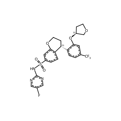 O=S(=O)(Nc1ncc(F)cn1)c1ccc2c(c1)OCC[C@@H]2c1ccc(C(F)(F)F)cc1O[C@H]1CCOC1